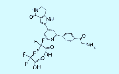 NCC(=O)c1ccc(-c2cc(-c3cc4c([nH]3)CCNC4=O)ccn2)cc1.O=C(O)C(F)(F)F.O=C(O)C(F)(F)F